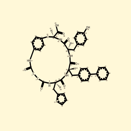 O=C1CCC(=O)N[C@H](Cc2cccs2)C(=O)N[C@@H](Cc2ccc(-c3ccccc3)cc2)C(=O)N[C@H](Cc2ccc(O)cc2)C(=O)N[C@H](C(=O)O)Cc2ccc(cc2)N1